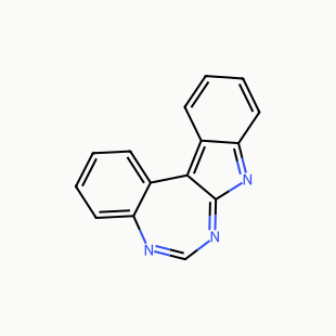 c1ccc2c3c4ccccc4nc-3ncnc2c1